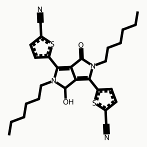 CCCCCCN1C(=O)C2=C(c3ccc(C#N)s3)N(CCCCCC)C(O)C2=C1c1ccc(C#N)s1